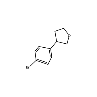 Brc1ccc(C2CCOC2)cc1